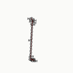 O=C(O)CC[C@H](NC(=O)N[C@@H](CCC(=O)NCCOCCOCCOCCOCCOCCOCCOCCOCCNCCOCCOCCOCCOCCOCCOCCOCCOCCNC(=O)CC[C@H](NC(=O)N[C@@H](CCC(=O)O)C(=O)O)C(=O)O)C(=O)O)C(=O)O